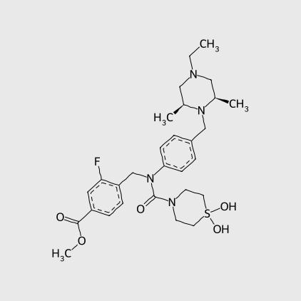 CCN1C[C@@H](C)N(Cc2ccc(N(Cc3ccc(C(=O)OC)cc3F)C(=O)N3CCS(O)(O)CC3)cc2)[C@@H](C)C1